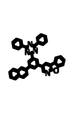 c1ccc(-c2nc(-c3ccccc3)nc(-c3cc(-c4ccc5ccccc5c4)cc(-c4cnc5oc6ccccc6c5c4)c3)n2)cc1